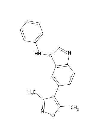 Cc1noc(C)c1-c1ccc2ncn(Nc3ccccc3)c2c1